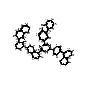 c1ccc2c(-c3ccc(-c4nc(-c5ccc6sc7ccccc7c6c5)nc(-c5cccc6cc(-c7cccc8c7sc7c9ccccc9ccc87)ccc56)n4)cc3)cccc2c1